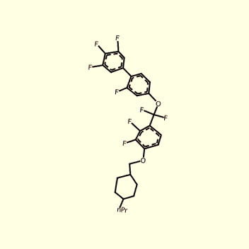 CCCC1CCC(COc2ccc(C(F)(F)Oc3ccc(-c4cc(F)c(F)c(F)c4)c(F)c3)c(F)c2F)CC1